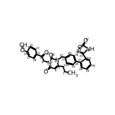 CCCc1cc(=O)n(CC(=O)c2ccc(OC)cc2)c(=O)n1Cc1ccc(-c2ccccc2-c2noc(=O)[nH]2)cc1